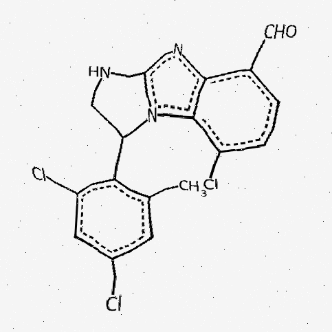 Cc1cc(Cl)cc(Cl)c1C1CNc2nc3c(C=O)ccc(Cl)c3n21